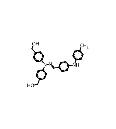 Cc1ccc(Nc2ccc(C=NN(c3ccc(CO)cc3)c3ccc(CO)cc3)cc2)cc1